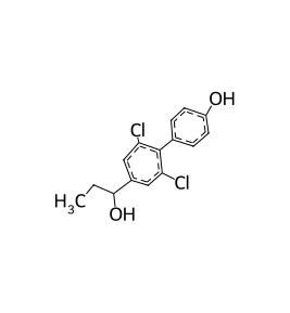 CCC(O)c1cc(Cl)c(-c2ccc(O)cc2)c(Cl)c1